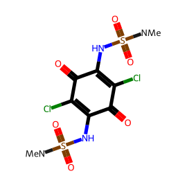 CNS(=O)(=O)NC1=C(Cl)C(=O)C(NS(=O)(=O)NC)=C(Cl)C1=O